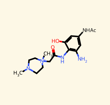 CC(=O)Nc1cc(N)c(NC(=O)C[N+]2(C)CCN(C)CC2)c(O)c1